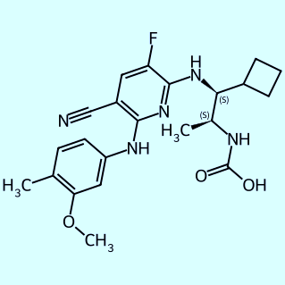 COc1cc(Nc2nc(N[C@@H](C3CCC3)[C@H](C)NC(=O)O)c(F)cc2C#N)ccc1C